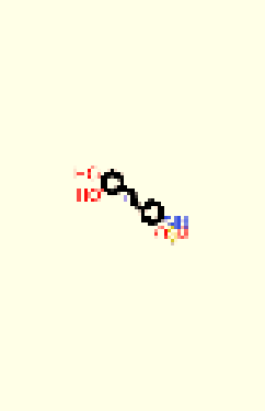 CS(=O)(=O)Nc1ccc(/C=C/c2ccc(O)c(O)c2)cc1